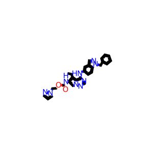 CCc1c(NC(=O)OCCn2cccn2)cn2ncnc(Nc3ccc4c(cnn4Cc4ccccc4)c3)c12